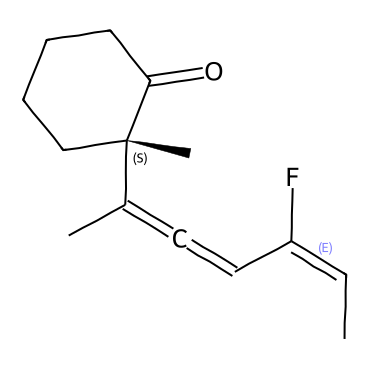 C/C=C(/F)C=C=C(C)[C@]1(C)CCCCC1=O